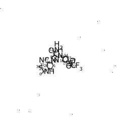 CC(N[C@H]1CC[C@H](n2cc(C(N)=O)c(Nc3ccc(S(=O)(=O)C(F)(F)F)cc3)n2)[C@@H](C#N)C1)C1CC1